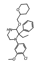 CCC1(c2ccccc2)C(OCC2CCCCO2)NCCN1c1ccc(Cl)c(OC)c1